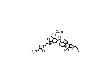 CCc1cc(Nc2nccn3c(-c4cn(CC#N)nc4C(F)(F)F)cnc23)ccc1C(=O)NCCNC(=O)CCN.O=CO